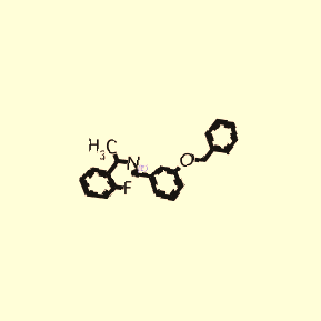 CC(/N=C/c1cccc(OCc2ccccc2)c1)c1ccccc1F